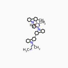 C=C/C(=C\C=C/C)n1c2ccccc2c2cc(-c3ccc4c(c3)c3ccccc3n4C(/C=C(/C)C3c4ccccc4-n4c5ccccc5c5ccc(C)c3c54)=C/C)ccc21